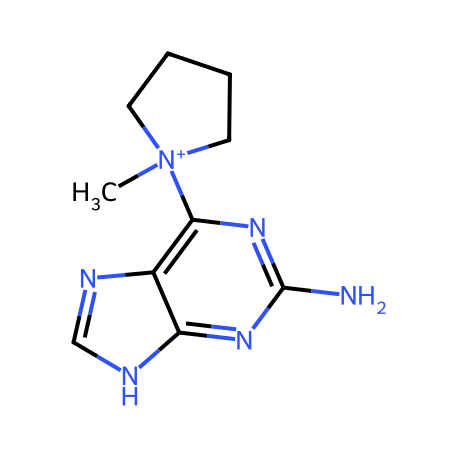 C[N+]1(c2nc(N)nc3[nH]cnc23)CCCC1